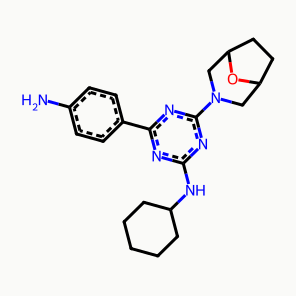 Nc1ccc(-c2nc(NC3CCCCC3)nc(N3CC4CCC(C3)O4)n2)cc1